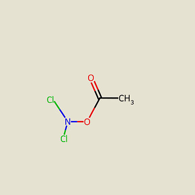 CC(=O)ON(Cl)Cl